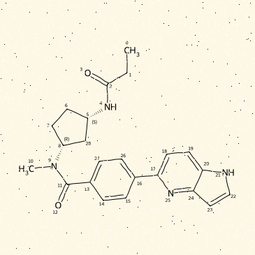 CCC(=O)N[C@H]1CC[C@@H](N(C)C(=O)c2ccc(-c3ccc4[nH]ccc4n3)cc2)C1